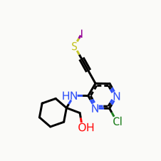 OCC1(Nc2nc(Cl)ncc2C#CSI)CCCCC1